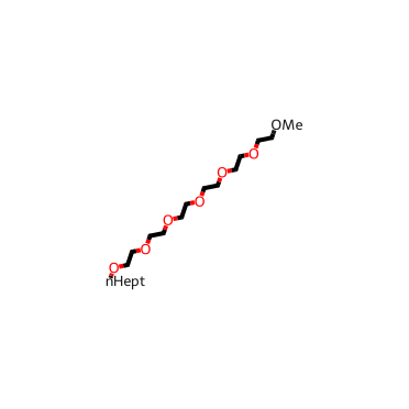 CCCCCCCOCCOCCOCCOCCOCCOCCOC